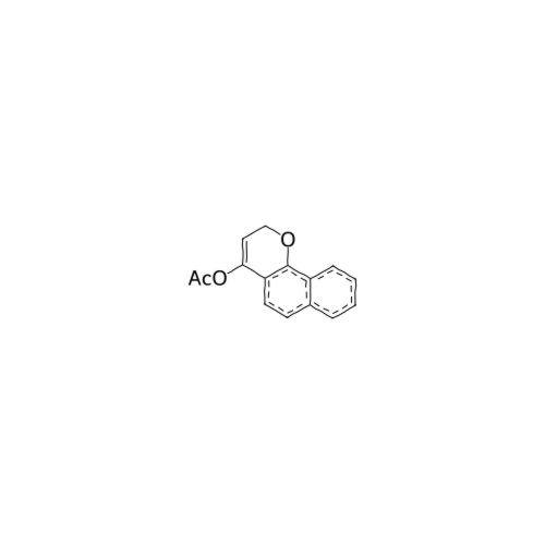 CC(=O)OC1=CCOc2c1ccc1ccccc21